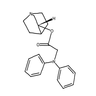 O=C(CN(c1ccccc1)c1ccccc1)O[C@H]1CN2CCC1CC2